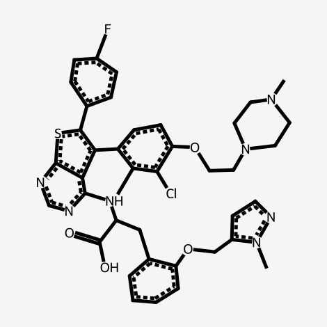 Cc1c(-c2c(-c3ccc(F)cc3)sc3ncnc(NC(Cc4ccccc4OCc4ccnn4C)C(=O)O)c23)ccc(OCCN2CCN(C)CC2)c1Cl